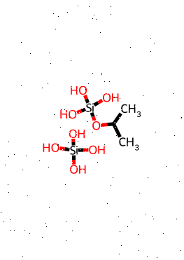 CC(C)O[Si](O)(O)O.O[Si](O)(O)O